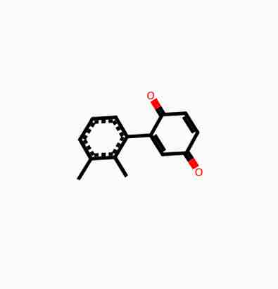 Cc1cccc(C2=CC(=O)C=CC2=O)c1C